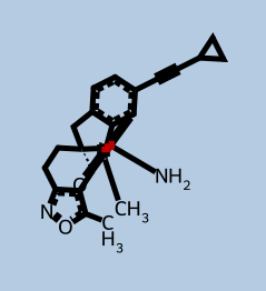 Cc1onc2c1C[C@]1(CC2)Cc2ccc(C#CC3CC3)cc2C12N=C(N)N(C)C2=O